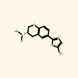 CCCN(CC)[C@@H]1COc2ccc(-c3ncc(C)o3)cc2C1